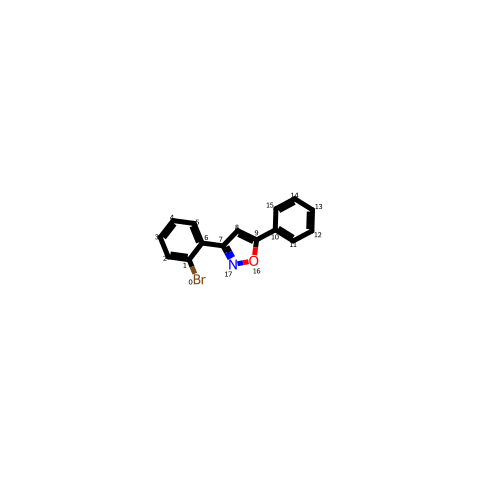 Brc1ccccc1-c1cc(-c2ccccc2)on1